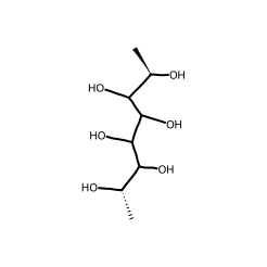 C[C@H](O)C(O)C(O)C(O)C(O)[C@@H](C)O